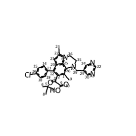 Cc1c([C@H](OC(C)(C)C)C(=O)O)c(-c2ccc(Cl)cc2)c2cc(C)n3c2c1N(Cc1cncnc1)CC3